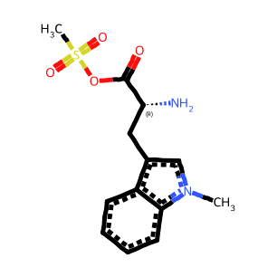 Cn1cc(C[C@@H](N)C(=O)OS(C)(=O)=O)c2ccccc21